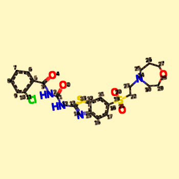 O=C(NC(=O)c1ccccc1Cl)Nc1nc2ccc(S(=O)(=O)CCN3CCCOCC3)cc2s1